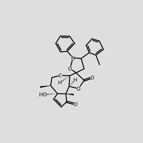 Cc1ccccc1C1CC2(ON1c1ccccc1)C(=O)O[C@@H]1[C@H]2CC[C@H](C)[C@]2(O)C=CC(=O)[C@@]12C